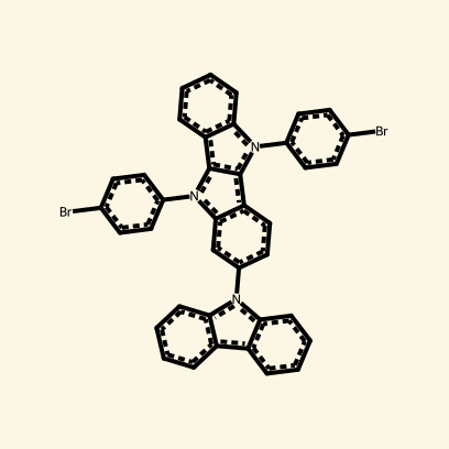 Brc1ccc(-n2c3ccccc3c3c2c2ccc(-n4c5ccccc5c5ccccc54)cc2n3-c2ccc(Br)cc2)cc1